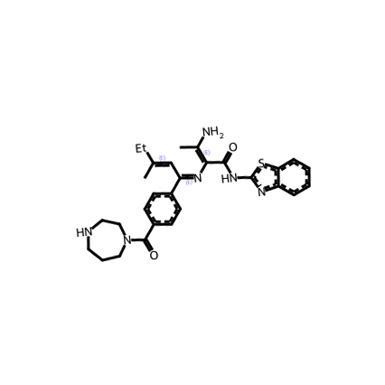 CC/C(C)=C/C(=N\C(C(=O)Nc1nc2ccccc2s1)=C(/C)N)c1ccc(C(=O)N2CCCNCC2)cc1